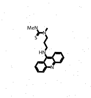 CNC(=S)N(C)CCCNc1c2ccccc2nc2ccccc12